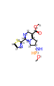 COPN[C@H]1CC2=C(C(=O)OC)CN=C(c3nccs3)N2C1